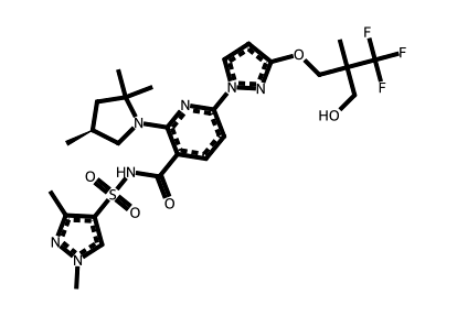 Cc1nn(C)cc1S(=O)(=O)NC(=O)c1ccc(-n2ccc(OCC(C)(CO)C(F)(F)F)n2)nc1N1C[C@@H](C)CC1(C)C